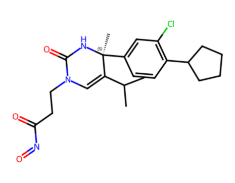 CC(C)C1=CN(CCC(=O)N=O)C(=O)N[C@@]1(C)c1ccc(C2CCCC2)c(Cl)c1